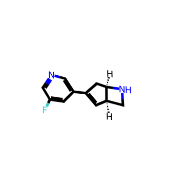 Fc1cncc(C2=C[C@@H]3CN[C@@H]3C2)c1